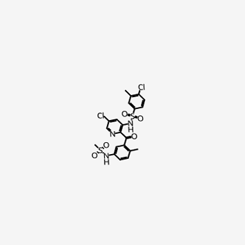 Cc1cc(S(=O)(=O)Nc2cc(Cl)cnc2C(=O)c2cc(NS(C)(=O)=O)ccc2C)ccc1Cl